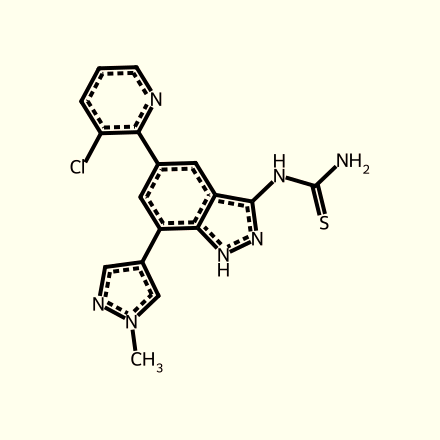 Cn1cc(-c2cc(-c3ncccc3Cl)cc3c(NC(N)=S)n[nH]c23)cn1